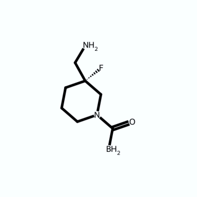 BC(=O)N1CCC[C@@](F)(CN)C1